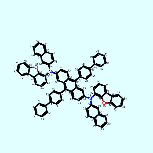 c1ccc(-c2ccc(-c3c4ccc(N(c5ccc6ccccc6c5)c5cccc6c5oc5ccccc56)cc4c(-c4ccc(-c5ccccc5)cc4)c4ccc(N(c5ccc6ccccc6c5)c5cccc6c5oc5ccccc56)cc34)cc2)cc1